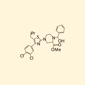 COC(=O)C1CN(c2nc(-c3ccc(Cl)c(Cl)c3)c(CC(C)C)s2)CCN1C(O)c1ccccc1